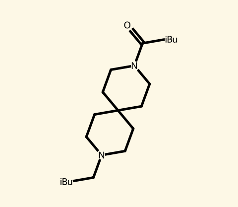 CCC(C)CN1CCC2(CC1)CCN(C(=O)C(C)CC)CC2